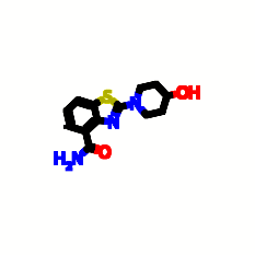 NC(=O)c1[c]ccc2sc(N3CCC(O)CC3)nc12